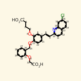 O=C(O)CCCOc1cc(C=Cc2ccc3ccc(Cl)cc3n2)ccc1OCc1ccccc1OCC(=O)O